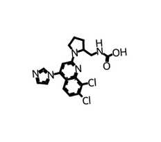 O=C(O)NCC1CCCN1c1cc(-n2ccnc2)c2ccc(Cl)c(Cl)c2n1